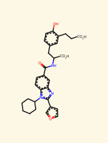 O=C(O)CCc1cc(CC(NC(=O)c2ccc3c(c2)nc(-c2ccoc2)n3C2CCCCC2)C(=O)O)ccc1O